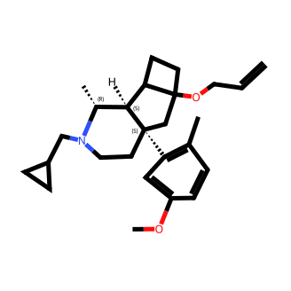 C=CCOC12CCC1[C@@H]1[C@@H](C)N(CC3CC3)CC[C@]1(c1cc(OC)ccc1C)C2